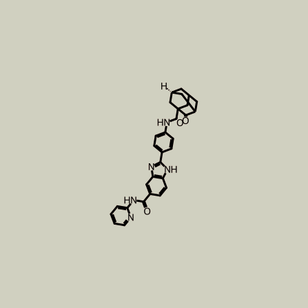 O=C(Nc1ccccn1)c1ccc2[nH]c(-c3ccc(NC(=O)C45CC6CC(C[C@H](C6)C4)C5=O)cc3)nc2c1